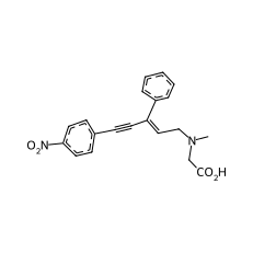 CN(C/C=C(/C#Cc1ccc([N+](=O)[O-])cc1)c1ccccc1)CC(=O)O